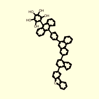 Oc1c(O)c(O)c(-c2c3ccccc3c(-c3ccc(-c4cc5cc(-c6ccc(-c7ccc8oc9ccccc9c8c7)c7ccccc67)ccc5c5ccccc45)cc3)c3ccccc23)c(O)c1O